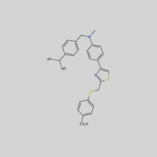 CCCC(CCC)c1ccc(CN(C)c2ccc(-c3csc(CSc4ccc(C(=O)O)cc4)n3)cc2)cc1